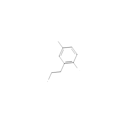 [SiH3]CCc1cc(I)ccc1Br